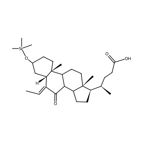 C/C=C1/C(=O)C2C3CC[C@H]([C@H](C)CCC(=O)O)[C@@]3(C)CCC2[C@@]2(C)CCC(O[Si](C)(C)C)C[C@@H]12